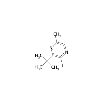 Cc1cnc(I)c(C(C)(C)C)n1